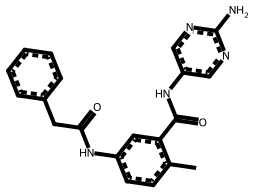 Cc1ccc(NC(=O)Cc2ccccc2)cc1C(=O)Nc1cnc(N)nc1